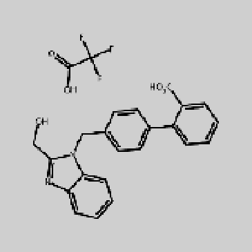 O=C(O)C(F)(F)F.O=C(O)c1ccccc1-c1ccc(Cn2c(CO)nc3ccccc32)cc1